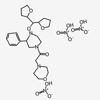 O=C(CN1CCOCC1)N1CCN(OC(C2CCCO2)C2CCCO2)C(c2ccccc2)C1.O=[N+]([O-])O.O=[N+]([O-])O.O=[N+]([O-])O